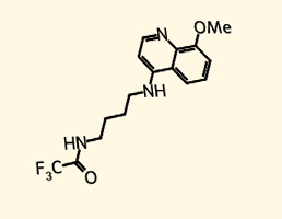 COc1cccc2c(NCCCCNC(=O)C(F)(F)F)ccnc12